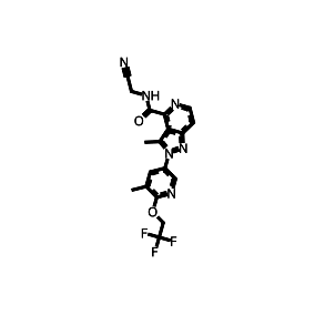 Cc1cc(-n2nc3ccnc(C(=O)NCC#N)c3c2C)cnc1OCC(F)(F)F